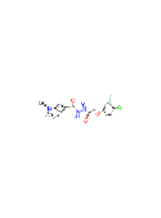 CC(C)(C)N(C(=O)O)C12CC(C(=O)NNC(=O)COc3ccc(Cl)c(F)c3)(C1)C2